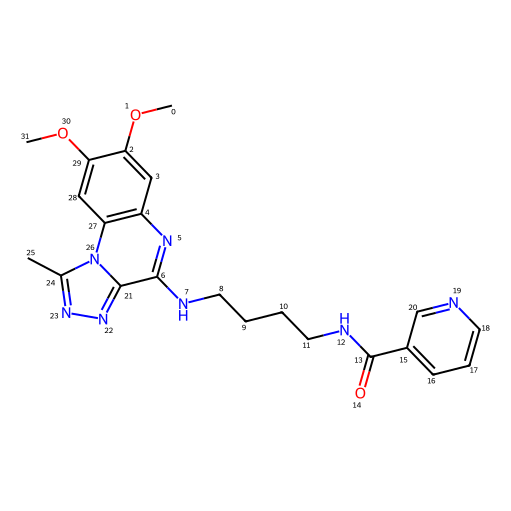 COc1cc2nc(NCCCCNC(=O)c3cccnc3)c3nnc(C)n3c2cc1OC